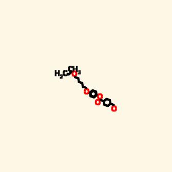 C=CC(C)OCCCCCCOc1ccc(OC(=O)C2CCC(C=O)CC2)cc1